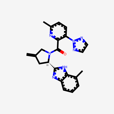 C=C1C[C@@H](c2nc3cccc(C)c3[nH]2)N(C(=O)c2nc(C)ccc2-n2nccn2)C1